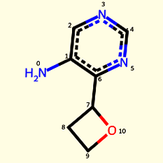 Nc1cn[c]nc1C1CCO1